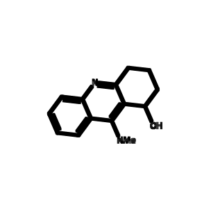 CNc1c2c(nc3ccccc13)CCCC2O